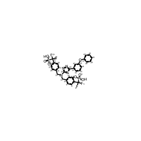 O=P(O)(O)C(F)(F)c1ccc(CN(Cc2ccc(C(F)(F)P(=O)(O)O)cc2)c2nnc(-c3cccc(Oc4ccccc4)c3)s2)cc1